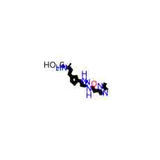 Cc1cncc(CC(=O)Nc2cc(C3CCC(CC[C@H](C)NC(=O)O)C3)[nH]n2)n1